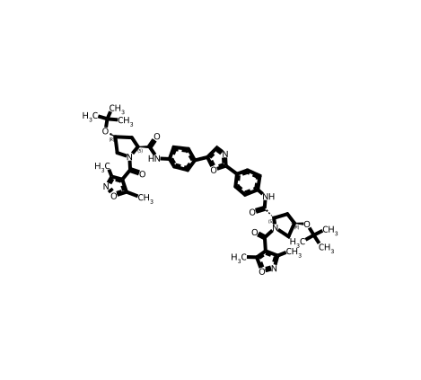 Cc1noc(C)c1C(=O)N1C[C@H](OC(C)(C)C)C[C@H]1C(=O)Nc1ccc(-c2cnc(-c3ccc(NC(=O)[C@@H]4C[C@@H](OC(C)(C)C)CN4C(=O)c4c(C)noc4C)cc3)o2)cc1